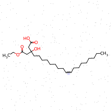 CCCCCCCC/C=C\CCCCCCCCC(O)(CC(=O)O)CC(=O)OCC